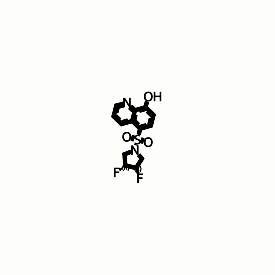 O=S(=O)(c1ccc(O)c2ncccc12)N1C[C@@H](F)[C@H](F)C1